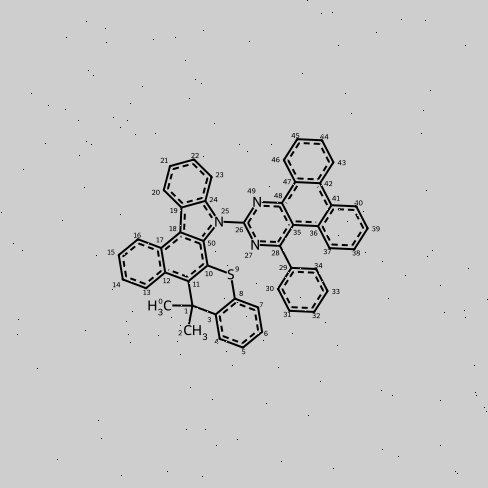 CC1(C)c2ccccc2Sc2c1c1ccccc1c1c3ccccc3n(-c3nc(-c4ccccc4)c4c5ccccc5c5ccccc5c4n3)c21